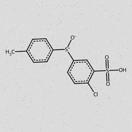 Cc1ccc([S+]([O-])c2ccc(Cl)c(S(=O)(=O)O)c2)cc1